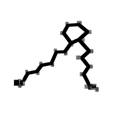 CCCCCCCC1CCCCC1CCCCC